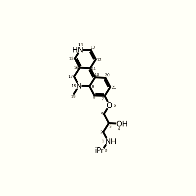 CC(C)NCC(O)COC1=CC2C(=C3C=CNC=C3CN2C)C=C1